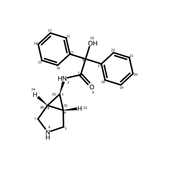 O=C(N[C@H]1[C@@H]2CNC[C@@H]21)C(O)(c1ccccc1)c1ccccc1